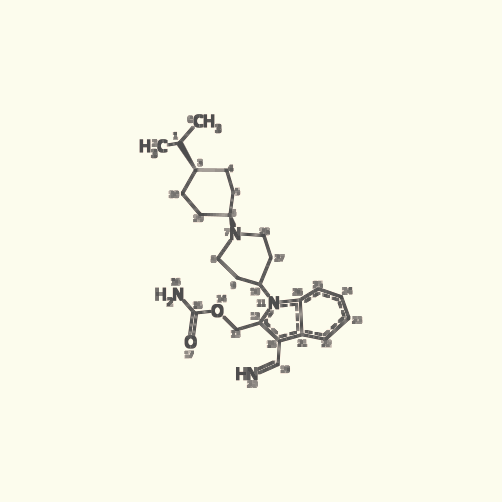 CC(C)[C@H]1CC[C@@H](N2CCC(n3c(COC(N)=O)c(C=N)c4ccccc43)CC2)CC1